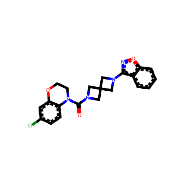 O=C(N1CC2(C1)CN(c1noc3ccccc13)C2)N1CCOc2cc(Cl)ccc21